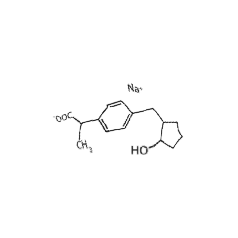 CC(C(=O)[O-])c1ccc(CC2CCCC2O)cc1.[Na+]